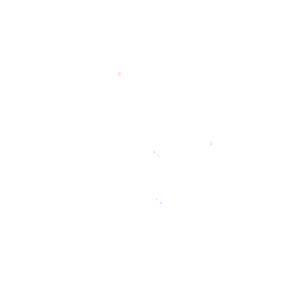 Cc1cc(C(=O)O)cn2c(Br)cnc12